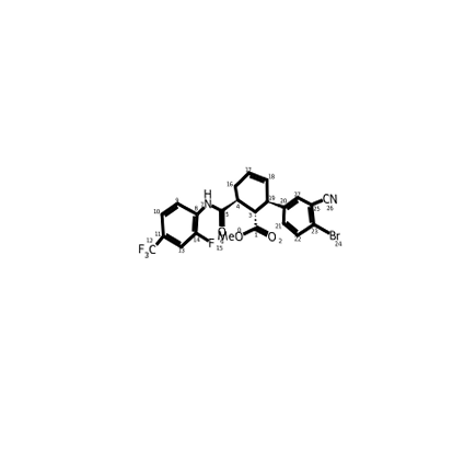 COC(=O)[C@@H]1[C@@H](C(=O)Nc2ccc(C(F)(F)F)cc2F)CC=C[C@H]1c1ccc(Br)c(C#N)c1